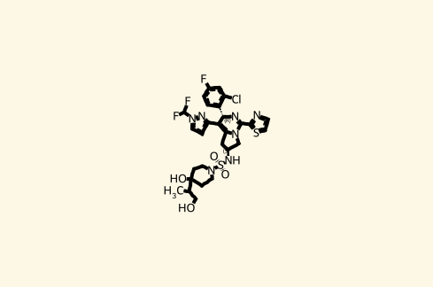 CC(CO)C1(O)CCN(S(=O)(=O)N[C@H]2CC3=C(c4ccn(C(F)F)n4)[C@H](c4ccc(F)cc4Cl)N=C(c4nccs4)N3C2)CC1